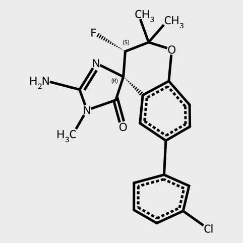 CN1C(=O)[C@]2(N=C1N)c1cc(-c3cccc(Cl)c3)ccc1OC(C)(C)[C@H]2F